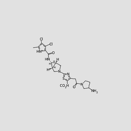 Cc1[nH]c(C(=O)N[C@@H]2[C@@H]3CN(c4nc(CC(=O)N5CCC(N)C5)c(C(=O)O)s4)C[C@@H]32)c(Cl)c1Cl